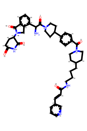 NC(C(=O)N1CCC(c2ccc(C(=O)N3CCC(CCCCNC(=O)/C=C/c4cccnc4)CC3)cc2)CC1)c1cccc2c1CN(C1CCC(=O)NC1=O)C2=O